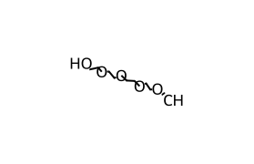 C#COCCOCCOCCOCCO